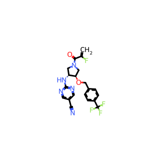 C=C(F)C(=O)N1C[C@@H](Nc2ncc(C#N)cn2)[C@H](OCc2ccc(C(F)(F)F)cc2)C1